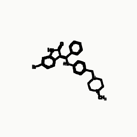 CN1CCN(Cc2ccc(NC(=C3C(=O)Nc4cc(Br)ccc43)c3ccccc3)cc2)CC1